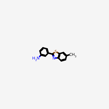 Cc1ccc2nc(-c3cccc(N)c3)sc2c1